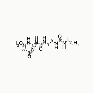 CCNC(=O)NCCNC(=O)Nc1nc(=O)cc(C)[nH]1